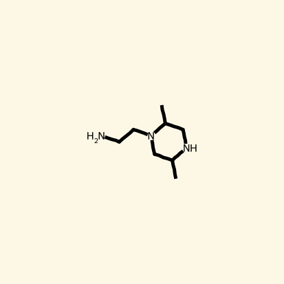 CC1CN(CCN)C(C)CN1